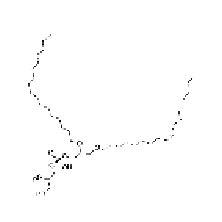 CCCCCCCC/C=C\CCCCCCCCOC[C@H](COP(=O)(O)OCC(O)CO)OCCCCCCCC/C=C\CCCCCCCC